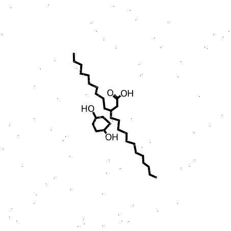 CCCCCCCCCCCCC(CCCCCCCCCC)CC(=O)O.OC1CCC(O)CC1